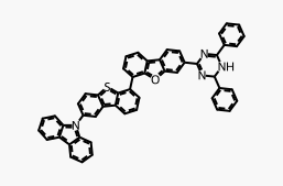 c1ccc(C2=NC(c3ccc4c(c3)oc3c(-c5cccc6c5sc5ccc(-n7c8ccccc8c8ccccc87)cc56)cccc34)=NC(c3ccccc3)N2)cc1